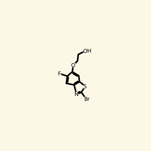 OCCOc1cc2sc(Br)nc2cc1F